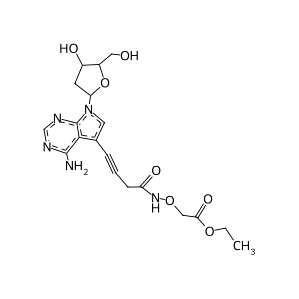 CCOC(=O)CONC(=O)CC#Cc1cn(C2CC(O)C(CO)O2)c2ncnc(N)c12